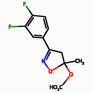 CC1(OC(=O)O)CC(c2ccc(F)c(F)c2)=NO1